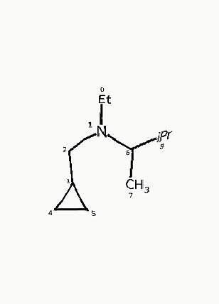 CCN(CC1CC1)C(C)C(C)C